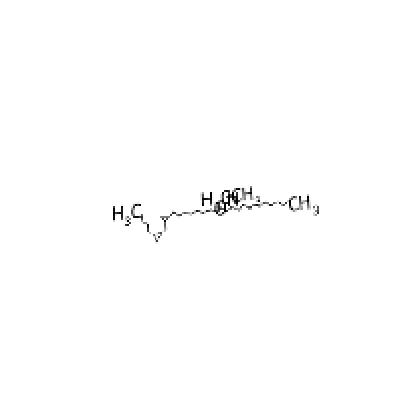 CCCCCCCCCCC[C@@H](COCCCCCCCC[C@@H]1C[C@@H]1C[C@@H]1C[C@@H]1CCCCC)N(C)C